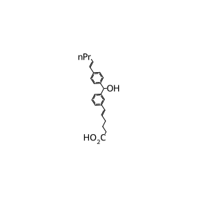 CCCC=Cc1ccc(C(O)c2cccc(C=CCCCC(=O)O)c2)cc1